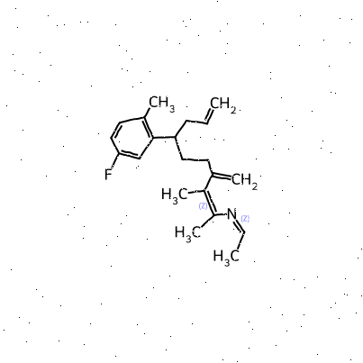 C=CCC(CCC(=C)/C(C)=C(C)\N=C/C)c1cc(F)ccc1C